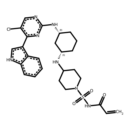 C=CC(=O)NS(=O)(=O)N1CCC(N[C@H]2CCC[C@@H](Nc3ncc(Cl)c(-c4c[nH]c5ccccc45)n3)C2)CC1